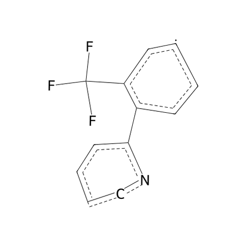 FC(F)(F)c1c[c]ccc1-c1ccccn1